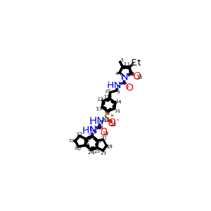 CCC1=C(C)CN(C(=O)NCCc2ccc([S+]([O-])NC(=O)Nc3c4c(cc5c3CCC5)CCC4)cc2)C1=O